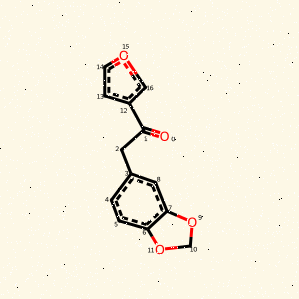 O=C(Cc1ccc2c(c1)OCO2)c1ccoc1